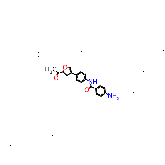 CC(=O)C1CC(c2ccc(NC(=O)c3ccc(N)cc3)cc2)=CO1